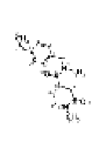 COc1ccc(CN(C)C(=O)C2CCN(C)C(=O)C2)cc1